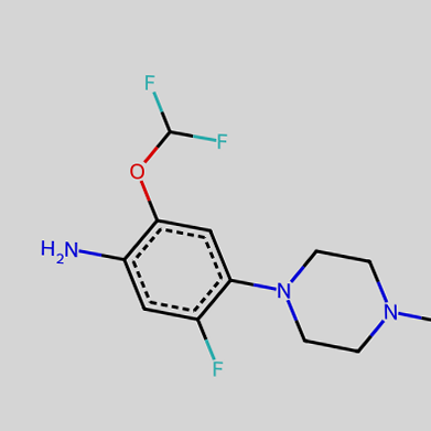 CN1CCN(c2cc(OC(F)F)c(N)cc2F)CC1